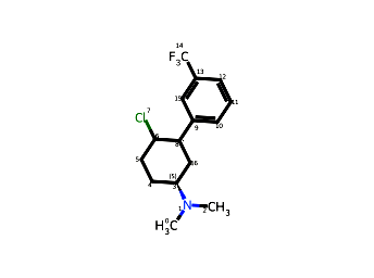 CN(C)[C@H]1CCC(Cl)[C](c2cccc(C(F)(F)F)c2)C1